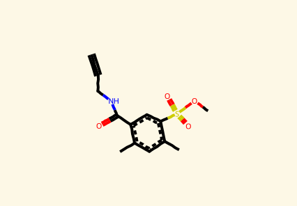 C#CCNC(=O)c1cc(S(=O)(=O)OC)c(C)cc1C